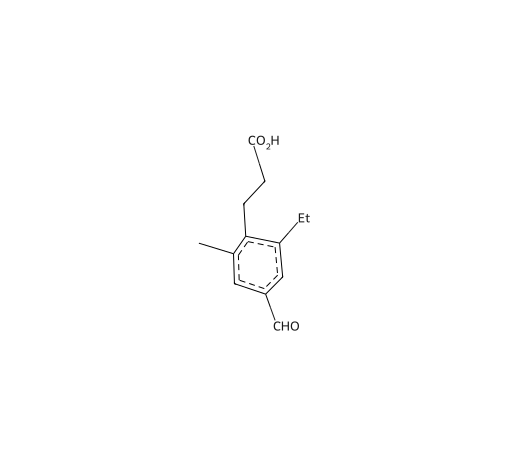 CCc1cc(C=O)cc(C)c1CCC(=O)O